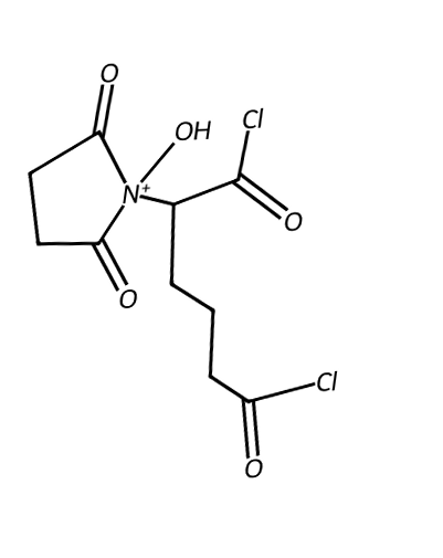 O=C(Cl)CCCC(C(=O)Cl)[N+]1(O)C(=O)CCC1=O